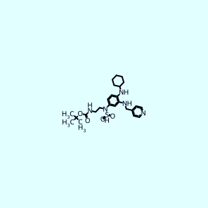 CC(C)(C)OC(=O)NCCN(c1ccc(NC2CCCCC2)c(NCc2ccncc2)c1)[SH](=O)=O